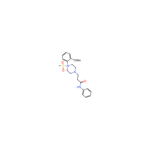 COc1ccccc1[N+]1(S(C)(=O)=O)CCN(CCC(=O)Nc2ccccc2)CC1